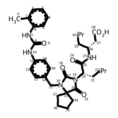 Cc1ccccc1NC(=O)Nc1ccc(CN2C(=O)N([C@@H](CC(C)C)C(=O)N[C@@H](CC(=O)O)CC(C)C)C(=O)C23CCCC3)cc1